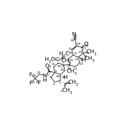 C=C(C)[C@@H]1CC[C@]2(C(=O)NCC(F)(F)F)CC[C@@](C)([C@]3(C)CC[C@H]4C(C)(C)C(=O)C(C#N)=C[C@]4(C)[C@H]3CCC)C[C@@H]12